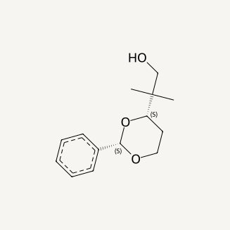 CC(C)(CO)[C@@H]1CCO[C@H](c2ccccc2)O1